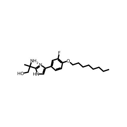 CCCCCCCCOc1ccc(-c2c[nH]c(C(C)(N)CO)n2)cc1F